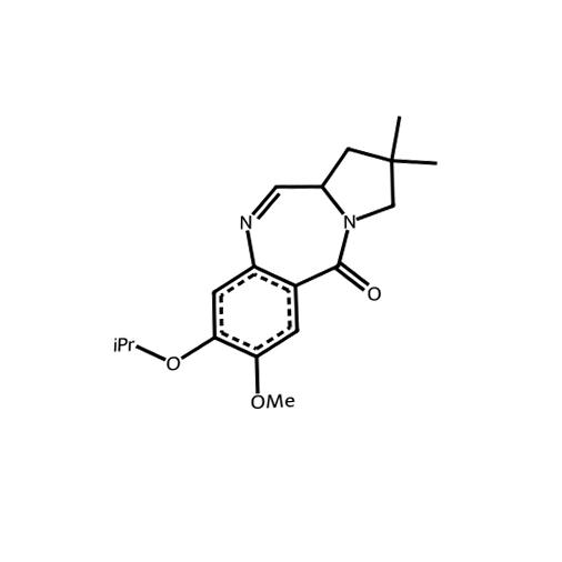 COc1cc2c(cc1OC(C)C)N=CC1CC(C)(C)CN1C2=O